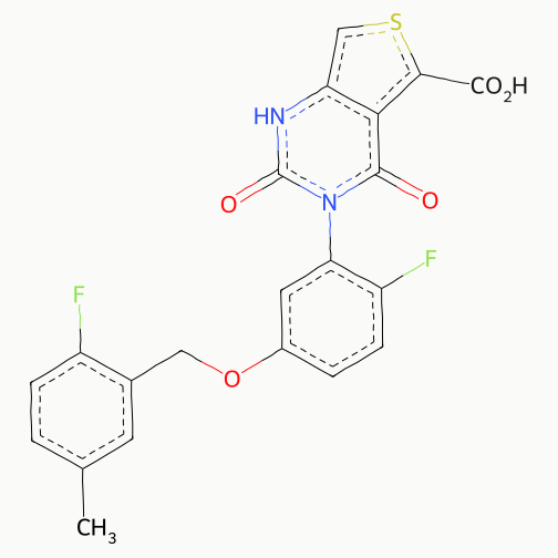 Cc1ccc(F)c(COc2ccc(F)c(-n3c(=O)[nH]c4csc(C(=O)O)c4c3=O)c2)c1